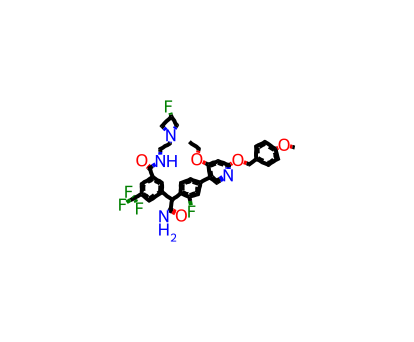 CCOc1cc(OCc2ccc(OC)cc2)ncc1-c1ccc(C(C(N)=O)c2cc(C(=O)NCCN3CC(F)C3)cc(C(F)(F)F)c2)c(F)c1